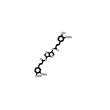 COc1cc(/C=C/C(=O)OC2COC3C(OC(=O)/C=C/c4ccc(OC)c(OC)c4)COC23)ccc1O